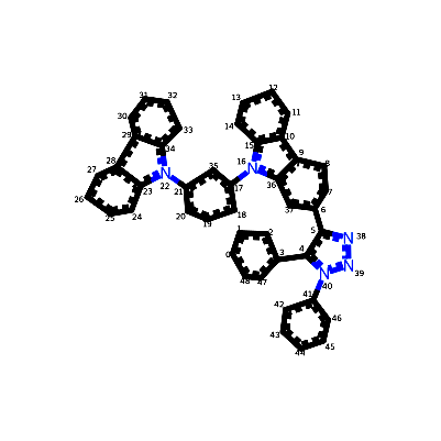 c1ccc(-c2c(-c3ccc4c5ccccc5n(-c5cccc(-n6c7ccccc7c7ccccc76)c5)c4c3)nnn2-c2ccccc2)cc1